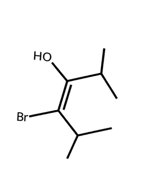 CC(C)/C(O)=C(/Br)C(C)C